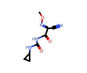 CON=C(C#N)C(=O)NC(=O)NC1CC1